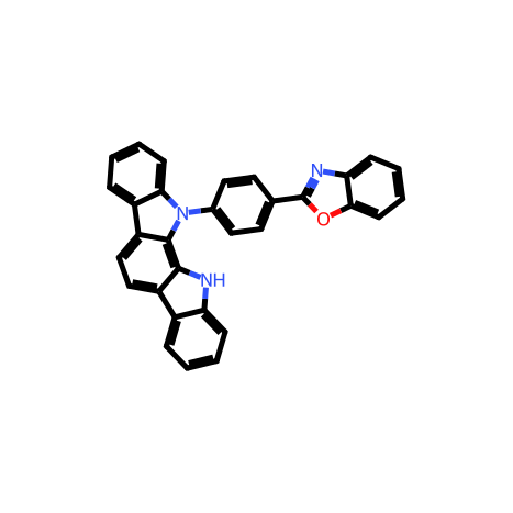 c1ccc2oc(-c3ccc(-n4c5ccccc5c5ccc6c7ccccc7[nH]c6c54)cc3)nc2c1